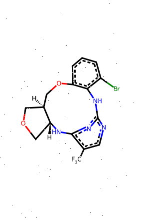 FC(F)(F)c1cnc2nc1N[C@@H]1COC[C@H]1COc1cccc(Br)c1N2